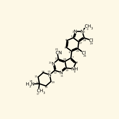 Cn1nc2ccc(-c3c[nH]c4nc(N5CCC(C)(N)CC5)nc(C#N)c34)c(Cl)c2c1Cl